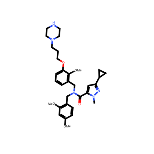 COc1ccc(CN(Cc2cccc(OCCCN3CCNCC3)c2OC)C(=O)c2cc(C3CC3)nn2C)c(OC)c1